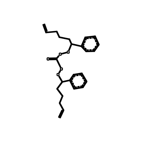 C=CCCCC(OOC(=O)OOC(CCCC=C)c1ccccc1)c1ccccc1